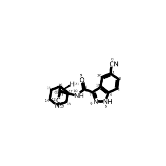 N#Cc1ccc2[nH]nc(C(=O)N[C@@H]3CN4CCC3CC4)c2c1